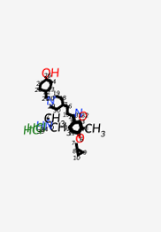 CNC.Cc1c(OCC2CC2)ccc2c(CCC3CCN(CC4CCC(O)CC4)CC3)noc12.Cl.Cl